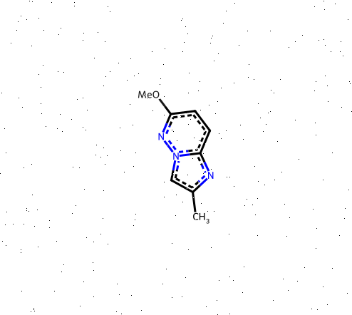 COc1ccc2nc(C)cn2n1